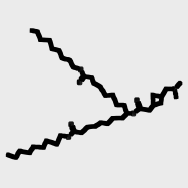 CCCCCCCCCOC(=O)CCCCCCCC(CCCCCCCC(=O)OCCCCCCCCC)OC(=O)CC1CC(CN(C)C)C1